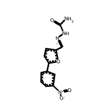 NC(=O)N/N=C/c1ccc(-c2cccc([N+](=O)[O-])c2)o1